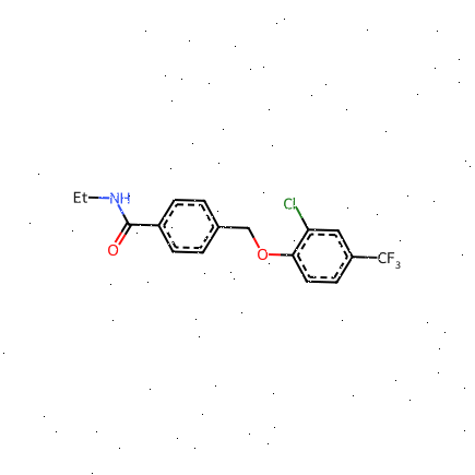 CCNC(=O)c1ccc(COc2ccc(C(F)(F)F)cc2Cl)cc1